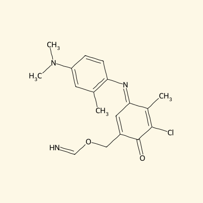 CC1=C(Cl)C(=O)C(COC=N)=CC1=Nc1ccc(N(C)C)cc1C